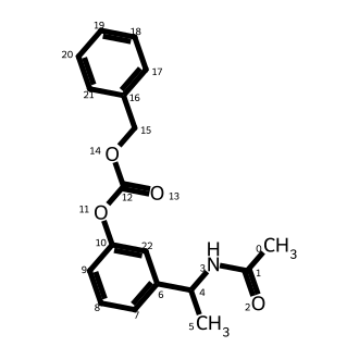 CC(=O)NC(C)c1cccc(OC(=O)OCc2ccccc2)c1